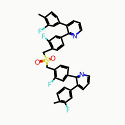 Cc1ccc(-c2cccnc2-c2ccc(CS(=O)(=O)Cc3ccc(-c4ncccc4-c4ccc(C)c(F)c4)cc3F)c(F)c2)cc1F